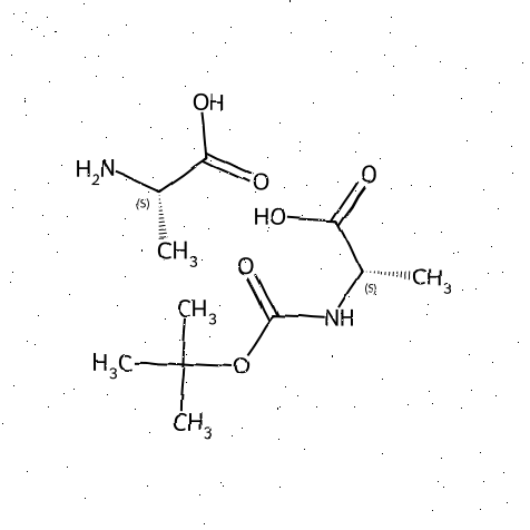 C[C@H](N)C(=O)O.C[C@H](NC(=O)OC(C)(C)C)C(=O)O